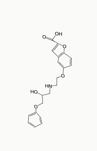 O=C(O)c1cc2cc(OCCNCC(O)COc3ccccc3)ccc2o1